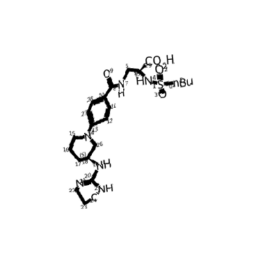 CCCCS(=O)(=O)N[C@@H](CNC(=O)c1ccc(N2CCC[C@H](NC3=NCCCN3)C2)cc1)C(=O)O